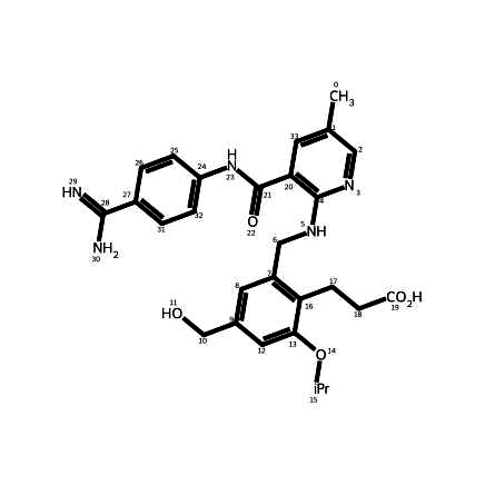 Cc1cnc(NCc2cc(CO)cc(OC(C)C)c2CCC(=O)O)c(C(=O)Nc2ccc(C(=N)N)cc2)c1